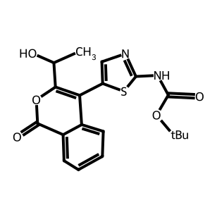 CC(O)c1oc(=O)c2ccccc2c1-c1cnc(NC(=O)OC(C)(C)C)s1